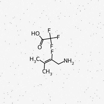 CC(C)=C(F)CN.O=C(O)C(F)(F)F